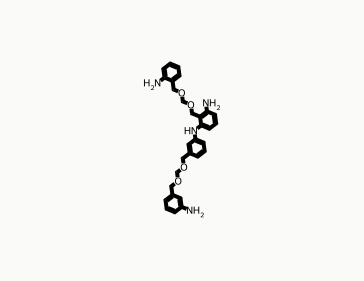 Nc1cccc(COCOCc2cccc(Nc3cccc(N)c3COCOCc3ccccc3N)c2)c1